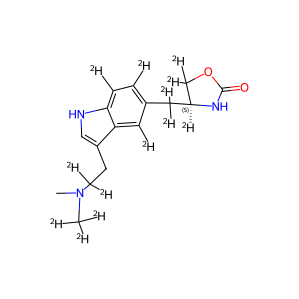 [2H]c1c(C([2H])([2H])[C@]2([2H])NC(=O)OC2([2H])[2H])c([2H])c2c(CC([2H])([2H])N(C)C([2H])([2H])[2H])c[nH]c2c1[2H]